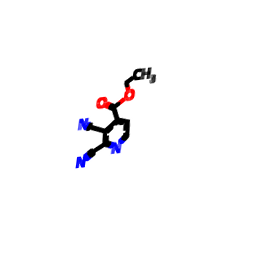 CCOC(=O)c1ccnc(C#N)c1C#N